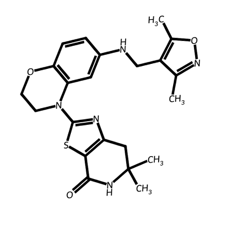 Cc1noc(C)c1CNc1ccc2c(c1)N(c1nc3c(s1)C(=O)NC(C)(C)C3)CCO2